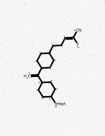 C=C(C1CCC(CCC=C(F)C#N)CC1)C1CCC(CCCCCCC)CC1